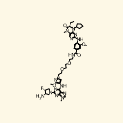 CC[C@@H]1C(=O)N(C)c2cnc(Nc3ccc(C(=O)NCCOCCOCCn4cc(Nc5nc(N6C[C@@H](N)[C@H](F)C6)nc6c5ncn6C)c(OC)n4)cc3OC)nc2N1C1CCCC1